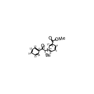 COC(=O)c1ccc[n+](CC(=O)c2ccccc2)c1.[Br-]